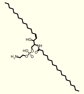 CCCCCCCCCCCCC/C=C\C(O)C(COP(=O)(O)OCCN)NC(=O)CCCCCCCCCCCCCCCCC